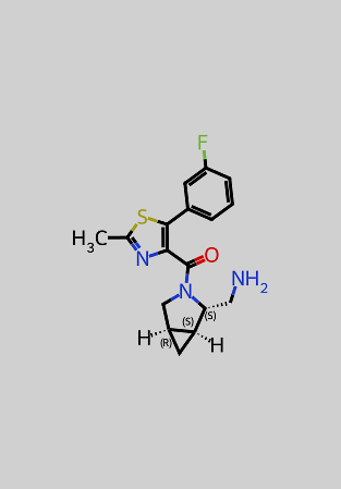 Cc1nc(C(=O)N2C[C@@H]3C[C@@H]3[C@H]2CN)c(-c2cccc(F)c2)s1